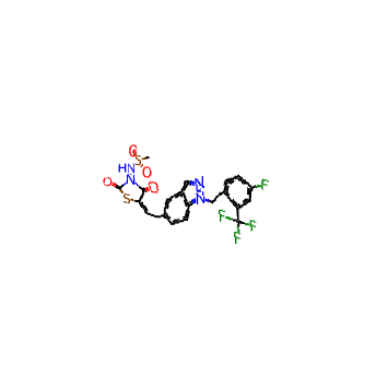 CS(=O)(=O)NN1C(=O)SC(=Cc2ccc3c(cnn3Cc3ccc(F)cc3C(F)(F)F)c2)C1=O